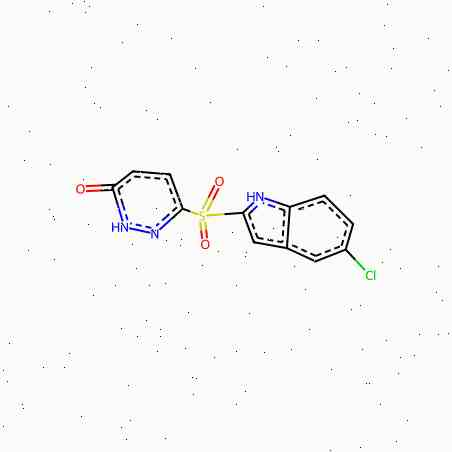 O=c1ccc(S(=O)(=O)c2cc3cc(Cl)ccc3[nH]2)n[nH]1